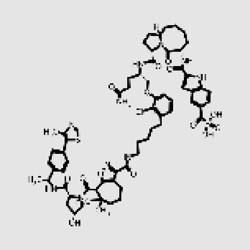 Cc1ncsc1-c1ccc([C@H](C)NC(=O)[C@@H]2C[C@@H](O)CN2C(=O)[C@H]2c3onc(C(=O)NCCCCCc4cccc(OC[C@H](CCC(N)=O)NC(=O)[C@@H]5CC[C@@H]6CCCC[C@H](NC(=O)c7cc8cc(C(=O)P(=O)(O)O)ccc8[nH]7)C(=O)N65)c4Cl)c3CCCC2(C)C)cc1